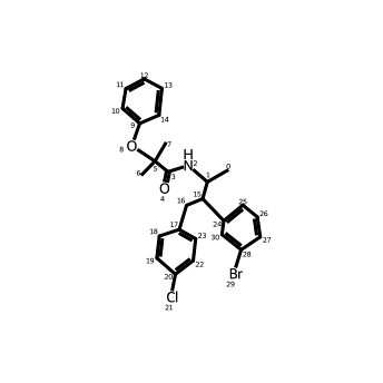 CC(NC(=O)C(C)(C)Oc1ccccc1)C(Cc1ccc(Cl)cc1)c1cccc(Br)c1